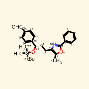 Cc1oc(-c2ccccc2)nc1CC[C@H](O[Si](C)(C)C(C)(C)C)c1ccc(C=O)cc1